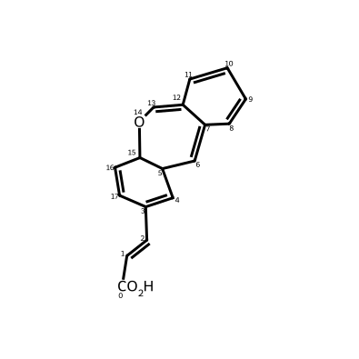 O=C(O)/C=C/C1=CC2C=c3ccccc3=COC2C=C1